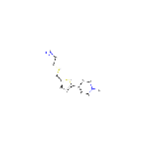 CN1CC=C(c2ccc(CSCCN)s2)CC1